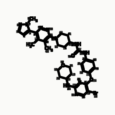 Cc1c(-c2ccnn2C)nnc(N2CCC(NC(=O)Nc3ccc(Oc4nc(NC5CCOCC5)ncc4Br)cc3)CC2)c1C